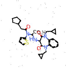 O=C(O)C(NC1C(=O)N(CC2CC2)c2ccccc2N(CC2CC2)C1=O)N(C(=O)CC1CCCC1)c1cccs1